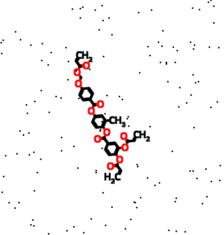 C=CC(=O)OCOc1ccc(C(=O)Oc2ccc(OC(=O)c3ccc(OC(=O)C=C)c(OC(=O)C=C)c3)c(C)c2)cc1